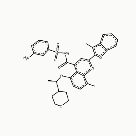 Cc1c(-c2cc(C(=O)NS(=O)(=O)c3cccc(N)c3)c3c(O[C@H](C)C4CCOCC4)ccc(C)c3n2)oc2ccccc12